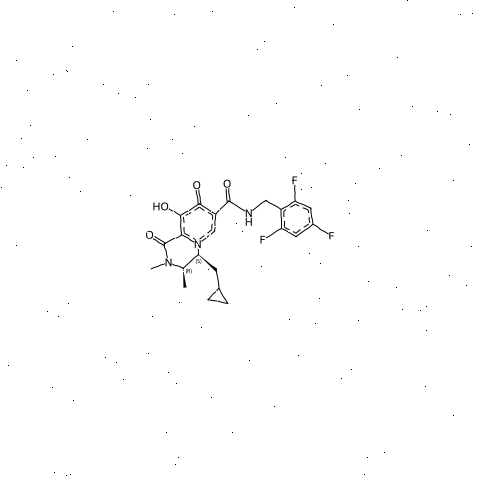 C[C@@H]1[C@H](CC2CC2)n2cc(C(=O)NCc3c(F)cc(F)cc3F)c(=O)c(O)c2C(=O)N1C